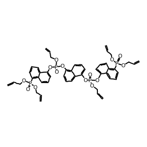 C=CCOP(=O)(Oc1cccc2c(OP(=O)(OCC=C)Oc3cccc4c(P(=O)(OCC=C)OCC=C)cccc34)cccc12)Oc1cccc2c(P(=O)(OCC=C)OCC=C)cccc12